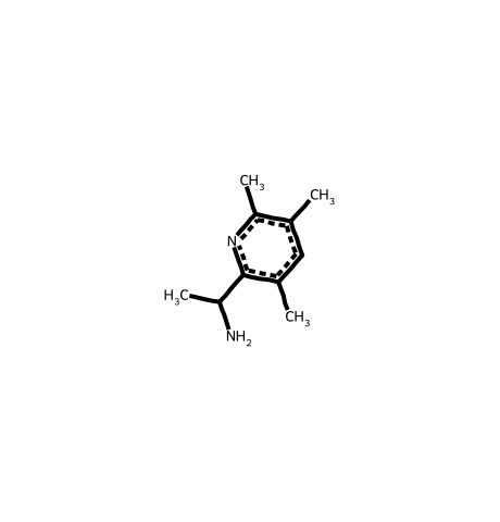 Cc1cc(C)c(C(C)N)nc1C